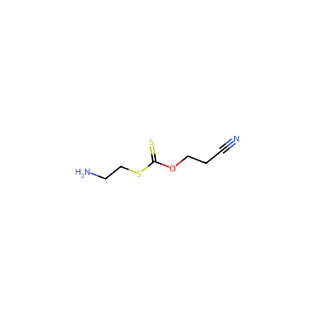 N#CCCOC(=S)SCCN